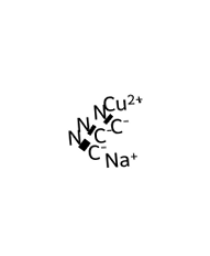 [C-]#N.[C-]#N.[C-]#N.[Cu+2].[Na+]